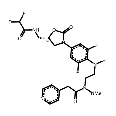 CCN(CCN(NC)C(=O)Cc1ccncc1)c1c(F)cc(N2C[C@H](CNC(=O)C(F)F)OC2=O)cc1F